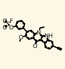 C#Cc1ccc2c(c1)[nH]c1c2c(=O)c2cc(OC)c(-c3cccc(OS(=O)(=O)F)c3)cc2n1CC